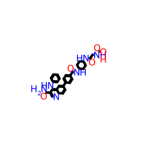 NC(=O)c1cnc2ccc(-c3ccc(C(=O)NC4CCC(NC(=O)CNC(=O)O)CC4)cc3)cc2c1Nc1ccccc1